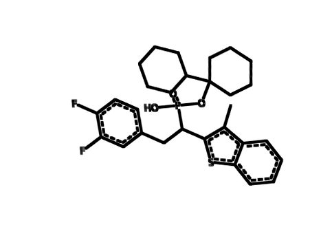 Cc1c(C(Cc2ccc(F)c(F)c2)P(=O)(O)OC2(C3CCCCC3)CCCCC2)sc2ccccc12